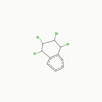 BrC1c2ccccc2C(Br)C(Br)C1Br